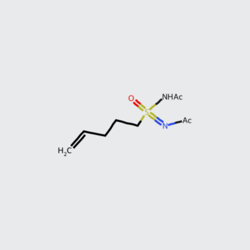 C=CCCCS(=O)(=NC(C)=O)NC(C)=O